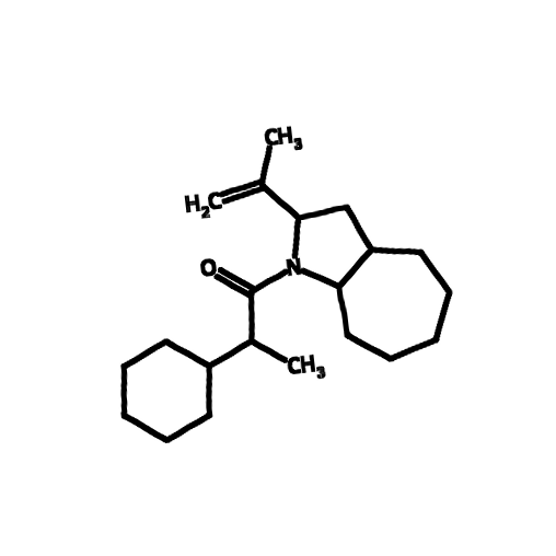 C=C(C)C1CC2CCCCCC2N1C(=O)C(C)C1CCCCC1